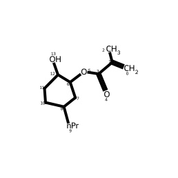 C=C(C)C(=O)OC1CC(CCC)CCC1O